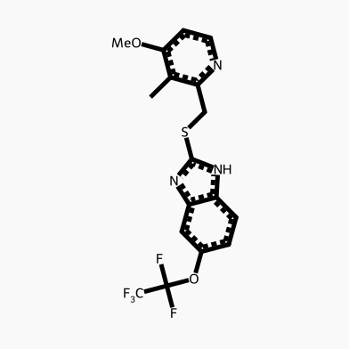 COc1ccnc(CSc2nc3cc(OC(F)(F)C(F)(F)F)ccc3[nH]2)c1C